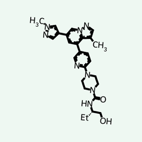 CC[C@@H](CO)NC(=O)N1CCN(c2ccc(-c3cc(-c4cnn(C)c4)cn4ncc(C)c34)cn2)CC1